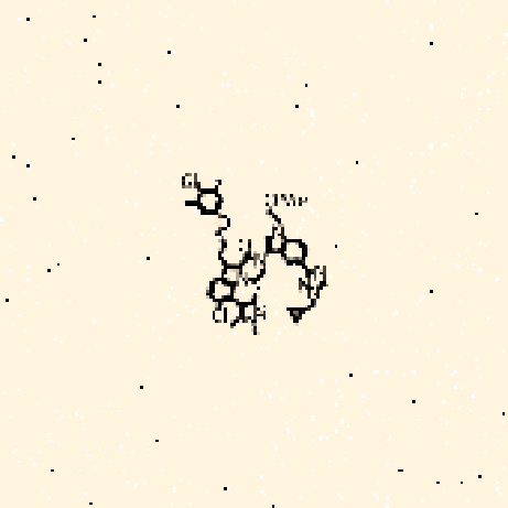 COCCn1cc(N2C[C@@H](C)n3c(c(CCCOc4cc(C)c(Cl)c(C)c4)c4ccc(Cl)c(-c5c(C)nn(C)c5C)c43)C2=O)c2cc(-c3ncn(CC4CC4)n3)ccc21